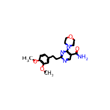 COc1ccc(CCc2ncc(C(N)=O)c(N3CCOCC3)n2)cc1OC